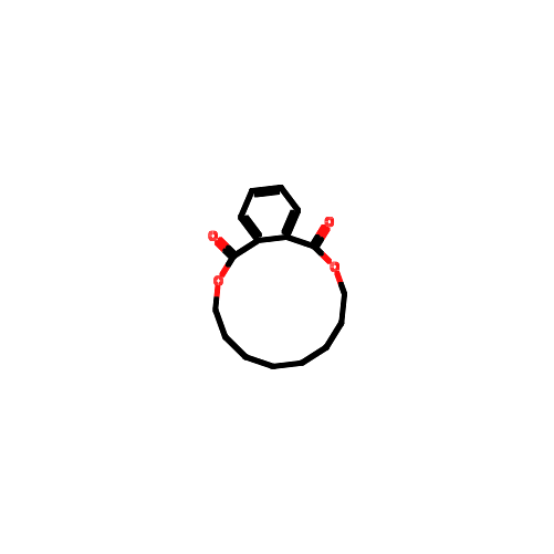 O=C1OCCCCCCCCOC(=O)c2ccccc21